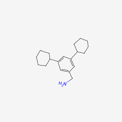 NCc1cc(C2CCCCC2)cc(C2CCCCC2)c1